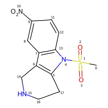 CS(=O)(=O)n1c2c(c3cc([N+](=O)[O-])ccc31)CNCC2